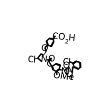 COc1cc(CC(=O)N2C[C@@H](Cl)C[C@H]2COc2ccc(C(=O)O)cc2)ccc1NC(=O)Nc1ccccc1Cl